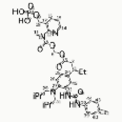 CCC(CC(=O)OCOC(=O)N(C)c1ncccc1COP(=O)(O)O)c1ccc(N(CC(C)C)CC(C)C)c(NC(=O)Nc2ccc(C)cc2)c1